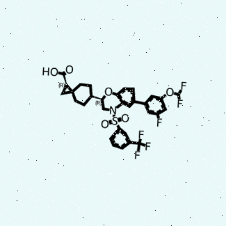 O=C(O)[C@@H]1CC12CCC([C@@H]1CN(S(=O)(=O)c3cccc(C(F)(F)F)c3)c3cc(-c4cc(F)cc(OC(F)F)c4)ccc3O1)CC2